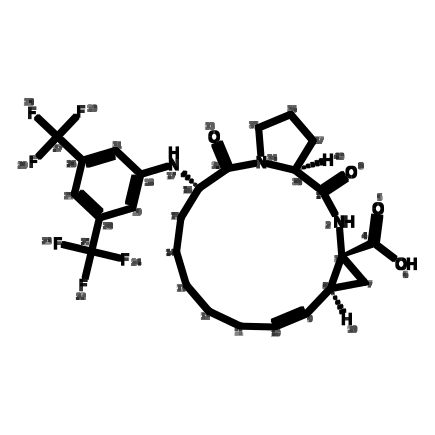 O=C1N[C@]2(C(=O)O)C[C@H]2/C=C\CCCCC[C@H](Nc2cc(C(F)(F)F)cc(C(F)(F)F)c2)C(=O)N2CCC[C@@H]12